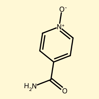 NC(=O)c1cc[n+]([O-])cc1